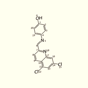 Oc1ccc(N=Cc2ccc3c(Cl)cc(Cl)cc3n2)cc1